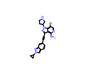 CC(=O)c1cnc(N)c2c(C#Cc3ccc4cn(C5CC5)nc4c3)nn(C3CCNC3)c12